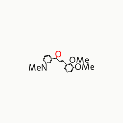 CNc1cccc(C(=O)C=Cc2cccc(OC)c2OC)c1